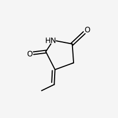 CC=C1CC(=O)NC1=O